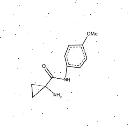 COc1ccc(NC(=O)C2(N)CC2)cc1